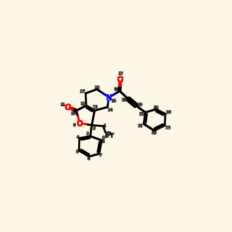 CC(C)CC1(c2ccccc2)OC(=O)C2=C1CN(C(=O)C#Cc1ccccc1)CC2